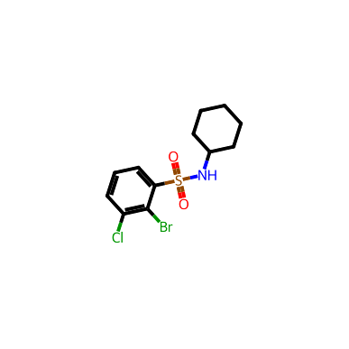 O=S(=O)(NC1CCCCC1)c1cccc(Cl)c1Br